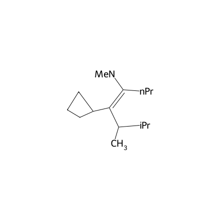 CCC/C(NC)=C(/C1CCC1)C(C)C(C)C